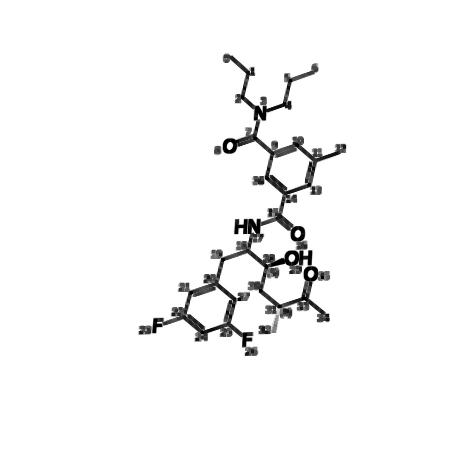 CCCN(CCC)C(=O)c1cc(C)cc(C(=O)NC(Cc2cc(F)cc(F)c2)[C@@H](O)C[C@@H](C)C(C)=O)c1